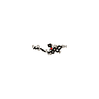 C[C@@H]1CC2C3C[C@H](F)C4=CC(O)C=C[C@]4(C)[C@@]3(F)[C@@H](O)C[C@]2(C)[C@@]1(OC(=O)c1ccco1)C1OC1SCC#CCOC(=O)CC(C)(C)F